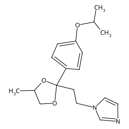 CC(C)Oc1ccc(C2(CCn3ccnc3)OCC(C)O2)cc1